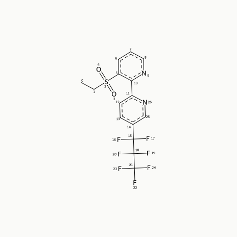 CCS(=O)(=O)c1cccnc1-c1ccc(C(F)(F)C(F)(F)C(F)(F)F)cn1